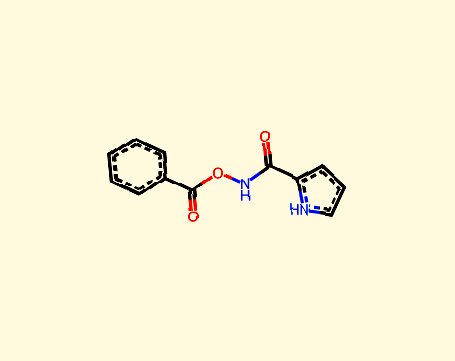 O=C(ONC(=O)c1ccc[nH]1)c1ccccc1